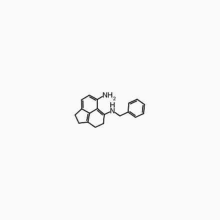 Nc1ccc2c3c1=C(NCc1ccccc1)CCC=3CC2